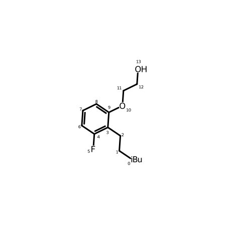 CCC(C)CCc1c(F)cccc1OCCO